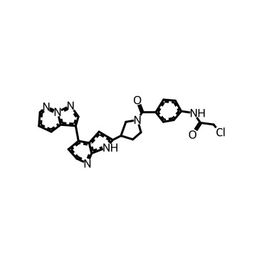 O=C(CCl)Nc1ccc(C(=O)N2CCC(c3cc4c(-c5cnn6ncccc56)ccnc4[nH]3)C2)cc1